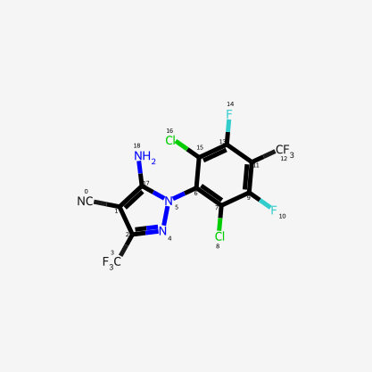 N#Cc1c(C(F)(F)F)nn(-c2c(Cl)c(F)c(C(F)(F)F)c(F)c2Cl)c1N